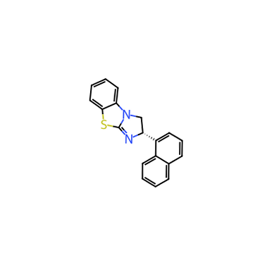 c1ccc2c(c1)SC1=N[C@@H](c3cccc4ccccc34)CN12